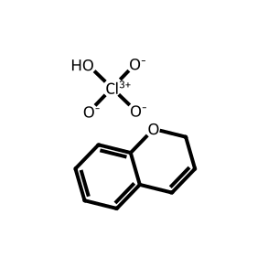 C1=Cc2ccccc2OC1.[O-][Cl+3]([O-])([O-])O